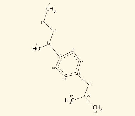 CCCC(O)c1ccc(CC(C)C)cc1